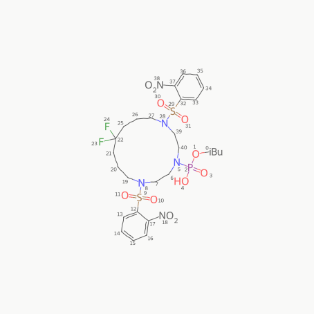 CCC(C)OP(=O)(O)N1CCN(S(=O)(=O)c2ccccc2[N+](=O)[O-])CCCC(F)(F)CCCN(S(=O)(=O)c2ccccc2[N+](=O)[O-])CC1